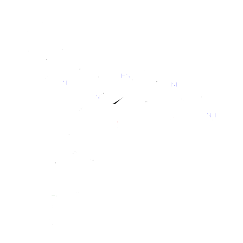 Cl.Cl.Cl.NCC(=O)NC1CN[C@H](C(=O)N2CCN(Cc3ccccc3)C[C@H]2CCc2ccccc2)C1